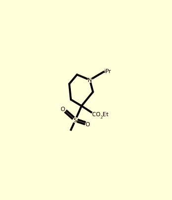 CCOC(=O)C1(S(C)(=O)=O)CCCN(C(C)C)C1